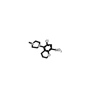 CN1CCN(c2c(Cl)cc([N+](=O)[O-])c3c2CCCO3)CC1